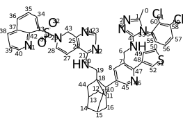 Cc1nnc(NCc2cc(C3C4CC5CC(C4)CC3(CNc3ncnc4c3C=CN(S(=O)(=O)c3cccc6cccnc36)C4)C5)cnc2-c2ccsc2)n1-c1cccc(Cl)c1Cl